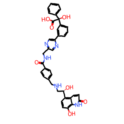 O=C(NCc1cnc(-c2cccc([C@](O)(C(=O)O)c3ccccc3)c2)cn1)c1ccc(CNC[C@H](O)c2ccc(O)c3[nH]c(=O)ccc23)cc1